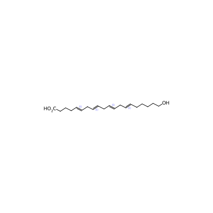 O=C(O)CCC/C=C/C/C=C/C/C=C/C/C=C/CCCCCO